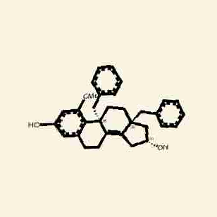 COc1cc(O)cc2c1[C@@]1(Cc3ccccc3)CC[C@]3(Cc4ccccc4)C[C@H](O)CC3=C1CC2